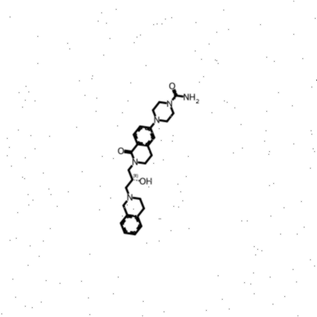 NC(=O)N1CCN(c2ccc3c(c2)CCN(C[C@H](O)CN2CCc4ccccc4C2)C3=O)CC1